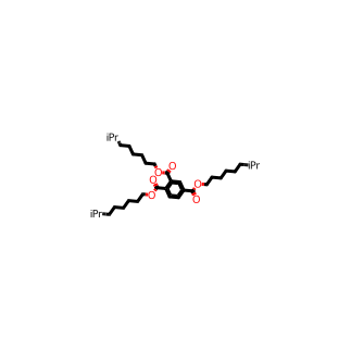 CC(C)CCCCCCOC(=O)c1ccc(C(=O)OCCCCCCC(C)C)c(C(=O)OCCCCCCC(C)C)c1